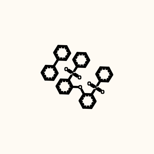 O=S(=O)(c1ccccc1)c1ccccc1Oc1ccccc1S(=O)(=O)c1ccccc1.c1ccc(-c2ccccc2)cc1